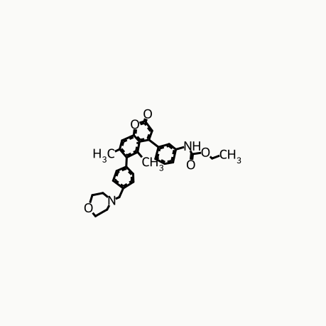 CCOC(=O)Nc1cccc(-c2cc(=O)oc3cc(C)c(-c4ccc(CN5CCOCC5)cc4)c(C)c23)c1